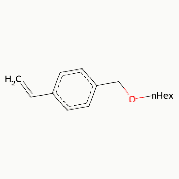 C=Cc1ccc(COCCCCCC)cc1